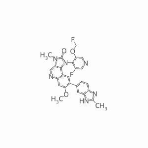 COc1cc2ncc3c(c2cc1-c1ccc2nc(C)[nH]c2c1)n(-c1c(F)cncc1OCF)c(=O)n3C